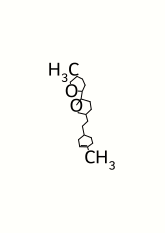 CC1=CCC(CCC2CCC(C3CCC(C)CO3)OC2)CC1